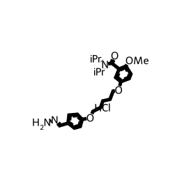 COc1ccc(OCCCCCOc2ccc(C=NN)cc2)cc1C(=O)N(C(C)C)C(C)C.Cl